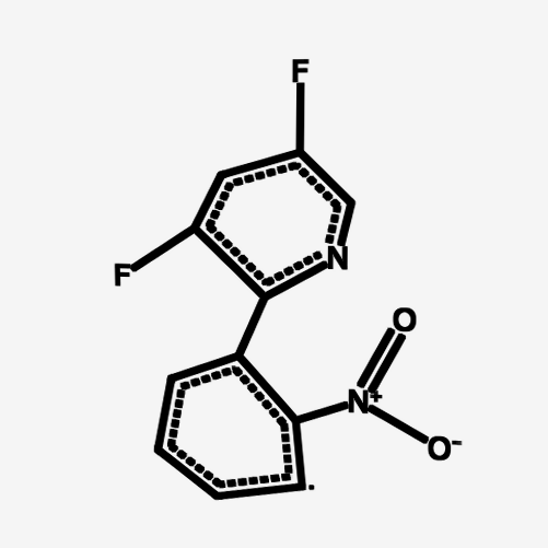 O=[N+]([O-])c1[c]cccc1-c1ncc(F)cc1F